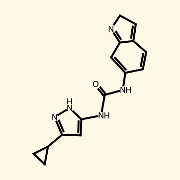 O=C(Nc1ccc2c(c1)=NCC=2)Nc1cc(C2CC2)n[nH]1